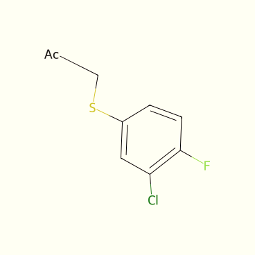 CC(=O)CSc1ccc(F)c(Cl)c1